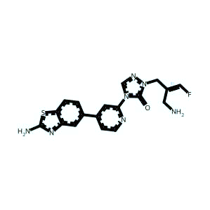 NC/C(=C\F)Cn1ncn(-c2cc(-c3ccc4sc(N)nc4c3)ccn2)c1=O